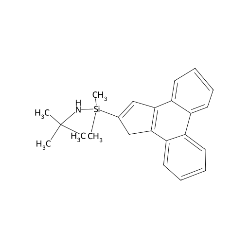 CC(C)(C)N[Si](C)(C)C1=Cc2c(c3ccccc3c3ccccc23)C1